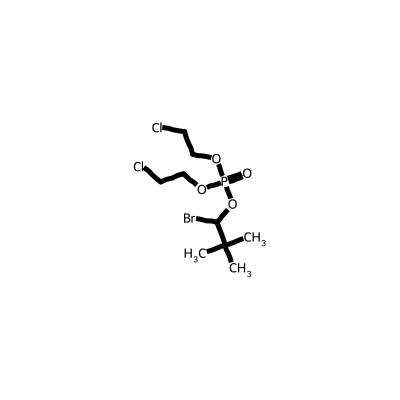 CC(C)(C)C(Br)OP(=O)(OCCCl)OCCCl